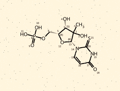 CC1(O)[C@@H](O)[C@@H](COP(=O)(O)O)O[C@H]1n1ccc(=O)[nH]c1=S